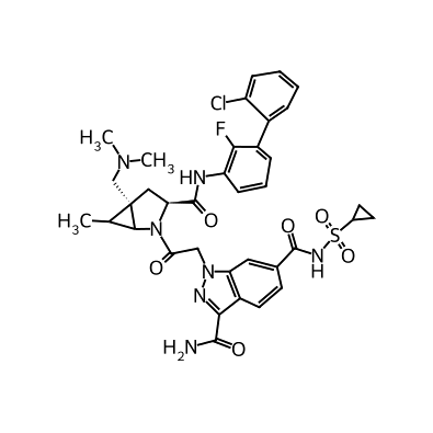 CC1C2N(C(=O)Cn3nc(C(N)=O)c4ccc(C(=O)NS(=O)(=O)C5CC5)cc43)[C@H](C(=O)Nc3cccc(-c4ccccc4Cl)c3F)C[C@]12CN(C)C